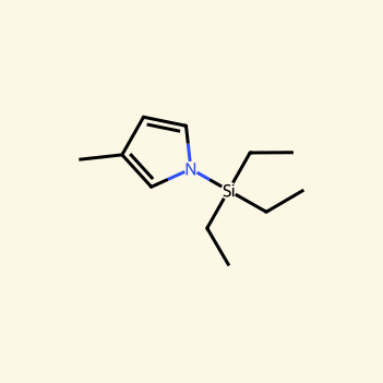 CC[Si](CC)(CC)n1ccc(C)c1